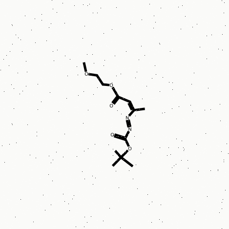 COCCOC(=O)/C=C(/C)N=NC(=O)OC(C)(C)C